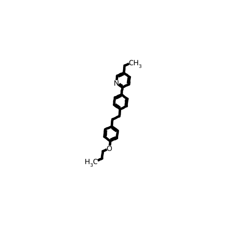 CCCOc1ccc(CCc2ccc(-c3ccc(CC)cn3)cc2)cc1